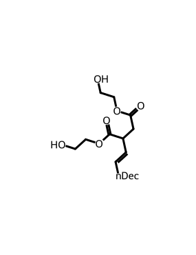 CCCCCCCCCCC=CC(CC(=O)OCCO)C(=O)OCCO